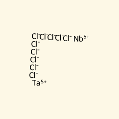 [Cl-].[Cl-].[Cl-].[Cl-].[Cl-].[Cl-].[Cl-].[Cl-].[Cl-].[Cl-].[Nb+5].[Ta+5]